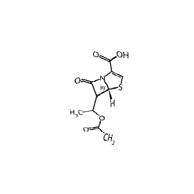 CC(=O)OC(C)C1C(=O)N2C(C(=O)O)=CS[C@H]12